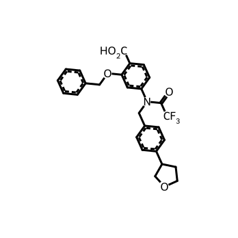 O=C(O)c1ccc(N(Cc2ccc(C3CCOC3)cc2)C(=O)C(F)(F)F)cc1OCc1ccccc1